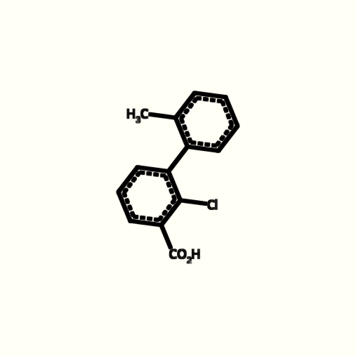 Cc1ccccc1-c1cccc(C(=O)O)c1Cl